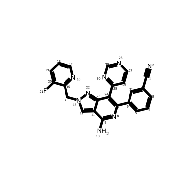 N#Cc1cccc(-c2nc(N)c3cn(Cc4ncccc4F)nc3c2-c2ccncn2)c1